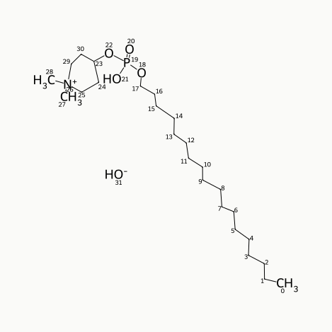 CCCCCCCCCCCCCCCCCCOP(=O)(O)OC1CC[N+](C)(C)CC1.[OH-]